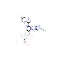 CC(C)(O)C(F)CNC(=O)c1cnc(-c2cnn3cc(Cl)cnc23)cc1Nc1cnn(CC(F)F)c1